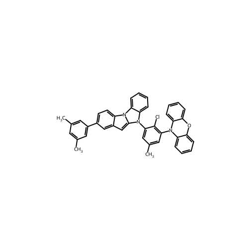 Cc1cc(C)cc(-c2ccc3c(c2)cc2n(-c4cc(C)cc(N5c6ccccc6Oc6ccccc65)c4Cl)c4ccccc4n32)c1